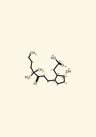 CCCCC(C)(C)C(=O)CCC1CC[C@@H](O)C1CC(=O)O